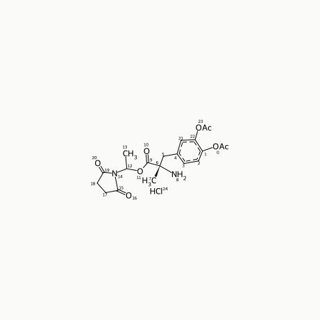 CC(=O)Oc1ccc(C[C@](C)(N)C(=O)OC(C)N2C(=O)CCC2=O)cc1OC(C)=O.Cl